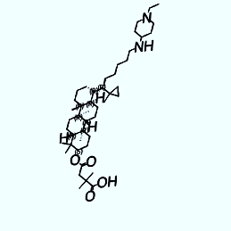 CCN1CCC(NCCCCC[C@H]([C@H]2CCC[C@]3(C)[C@@H]2CC[C@@H]2[C@@]4(C)CC[C@H](OC(=O)CC(C)(C)C(=O)O)C(C)(C)[C@@H]4CC[C@]23C)C2(C)CC2)CC1